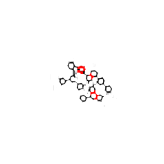 CC(C)(C)c1cc(-c2cc(-c3ccc4c(c3)B3c5cc(-c6ccccc6)ccc5N(c5cc(-c6ccccc6)ccc5-c5ccccc5)c5cc(-c6cc(C(C)(C)C)cc(C(C)(C)C)c6)cc(c53)N4c3ccccc3-c3ccccc3)nc(-n3c4ccc(C(C)(C)C)cc4c4cc(C(C)(C)C)ccc43)c2)cc(C(C)(C)C)c1